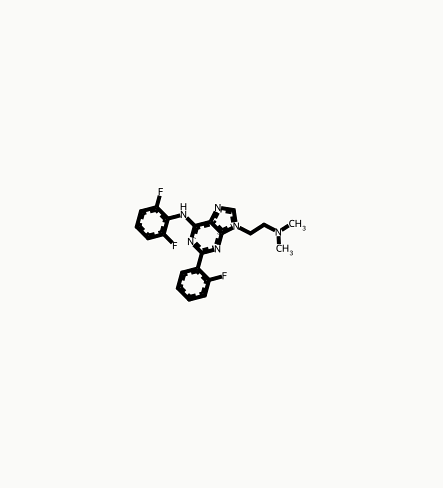 CN(C)CCn1cnc2c(Nc3c(F)cccc3F)nc(-c3ccccc3F)nc21